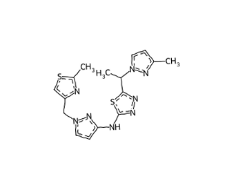 Cc1ccn(C(C)c2nnc(Nc3ccn(Cc4csc(C)n4)n3)s2)n1